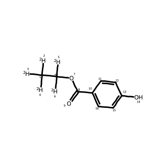 [2H]C([2H])([2H])C([2H])([2H])OC(=O)c1ccc(O)cc1